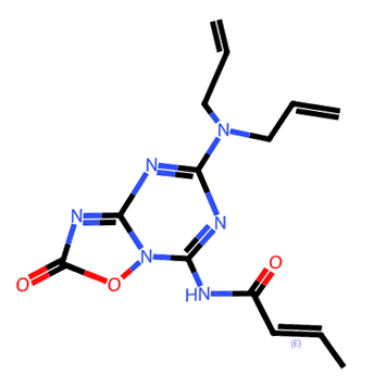 C=CCN(CC=C)c1nc(NC(=O)/C=C/C)n2oc(=O)nc2n1